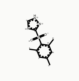 Cc1cc(C)c(S(=O)(=O)c2nc[nH]n2)c(C)c1